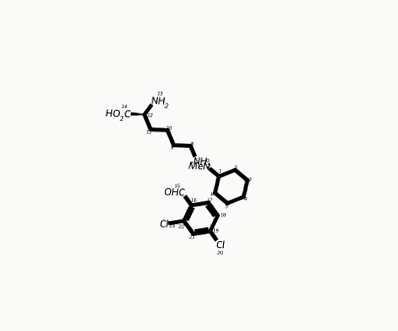 CNC1CCCCC1.NCCCC[C@H](N)C(=O)O.O=Cc1ccc(Cl)cc1Cl